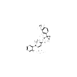 COc1ccccc1-c1ccc(NC(=O)C2(c3ccc4c(c3)OCO4)CC2)nn1